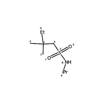 CCC(C)(C)CS(=O)(=O)NC(C)C